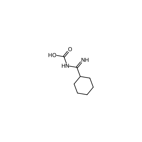 N=C(NC(=O)O)C1CCCCC1